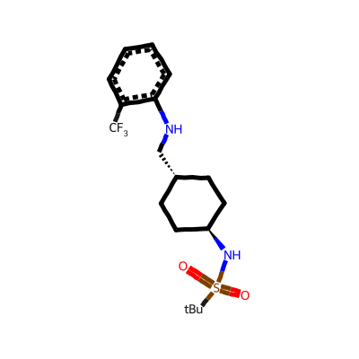 CC(C)(C)S(=O)(=O)N[C@H]1CC[C@H](CNc2ccccc2C(F)(F)F)CC1